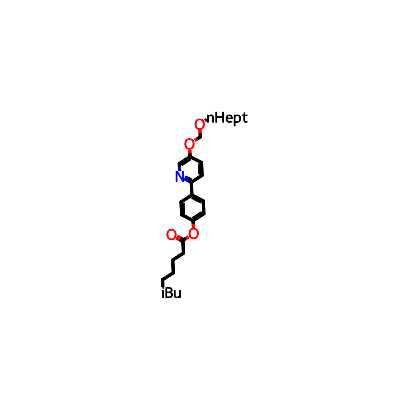 CCCCCCCOCOc1ccc(-c2ccc(OC(=O)CCCCC(C)CC)cc2)nc1